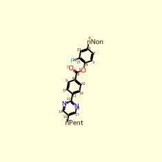 CCCCCCCCCc1ccc(OC(=O)c2ccc(-c3ncc(CCCCC)cn3)cc2)c(F)c1